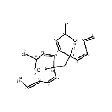 C=C/C=C\C(C)(/C=C\C(C)O)CC(C)(/C=C\C=C\C(C)C)/C=C\C(CC)N=O